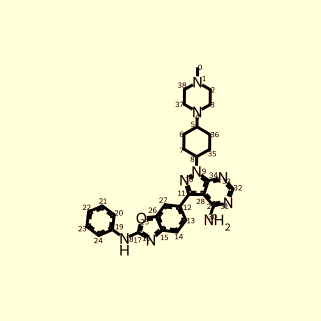 CN1CCN(C2CCC(n3nc(-c4ccc5nc(Nc6ccccc6)oc5c4)c4c(N)ncnc43)CC2)CC1